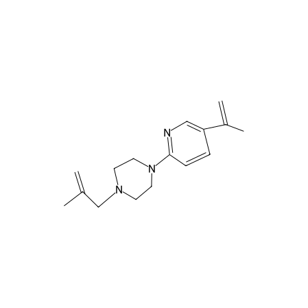 C=C(C)CN1CCN(c2ccc(C(=C)C)cn2)CC1